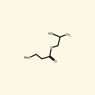 CSCCC(=O)OCC(C)O